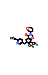 C#Cc1ccc(Cc2cc3c(c(C)c2C)OCN(C2CCCOC2)C3=O)cn1